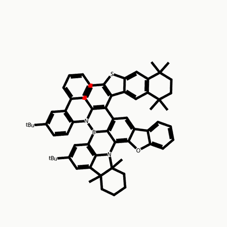 CC(C)(C)c1ccc(N2B3c4cc(C(C)(C)C)cc5c4N(c4c3c(cc3c4oc4ccccc43)-c3c2ccc2sc4cc6c(cc4c32)C(C)(C)CCC6(C)C)C2(C)CCCCC52C)c(-c2ccccc2)c1